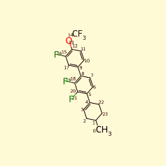 CC1CC=C(c2ccc(-c3ccc(OC(F)(F)F)c(F)c3)c(F)c2F)CC1